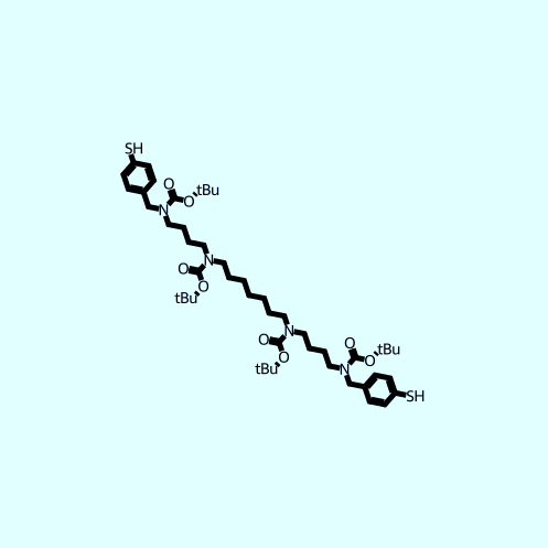 CC(C)(C)OC(=O)N(CCCCCCCN(CCCCN(Cc1ccc(S)cc1)C(=O)OC(C)(C)C)C(=O)OC(C)(C)C)CCCCN(Cc1ccc(S)cc1)C(=O)OC(C)(C)C